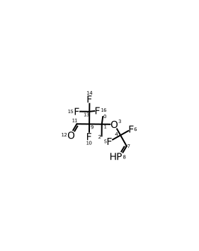 CC(C)(OC(F)(F)C=P)C(F)(C=O)C(F)(F)F